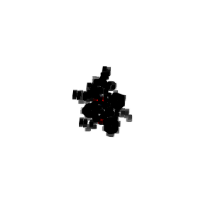 Cc1cccc(C)c1N1/C(=C/C=c2/c(C)nn3cc(C#N)c(=O)nc23)N(c2c(C(C)C)cccc2C(C)C)c2nc3ccccc3nc21